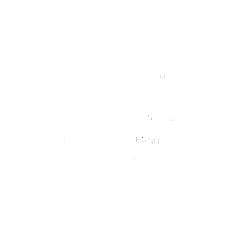 Cc1ccc2c(c1)CCc1cc(C)ccc1C2(CC(C)N)c1nc(=O)o[nH]1